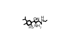 C=C(NCC)c1noc(-c2cc(C(C)C)c(C)cc2S)c1N